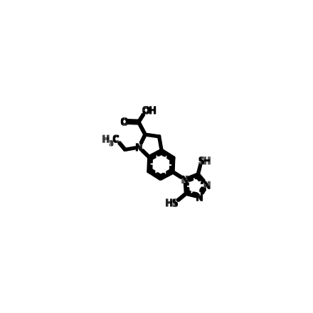 CCN1c2ccc(-n3c(S)nnc3S)cc2CC1C(=O)O